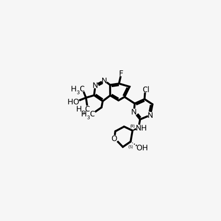 CCc1c(C(C)(C)O)nnc2c(F)cc(-c3nc(N[C@@H]4CCOC[C@H]4O)ncc3Cl)cc12